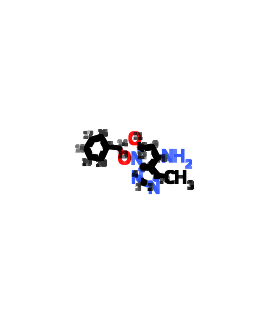 Cc1ncnc2c1c(N)cc(=O)n2OCc1ccccc1